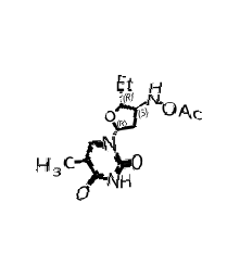 CC[C@H]1O[C@@H](n2cc(C)c(=O)[nH]c2=O)C[C@@H]1NOC(C)=O